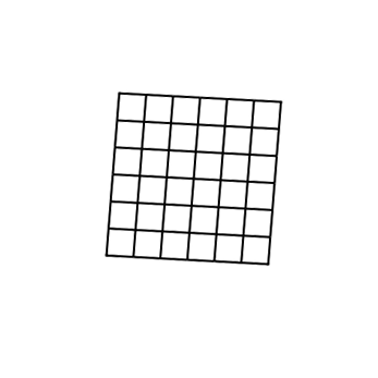 C1C2C3C4C5C6CC7C8C9C%10C%11CC%12C%13C%14C%15C%16CC%17C%18C%19C%20C1C21C32C43C54C67C85C96C%107C%11%12C%138C%149C%15%10C%17%16C%18%11C%19%12C%201C21C32C45C63C78C94C%11%10C%121C234